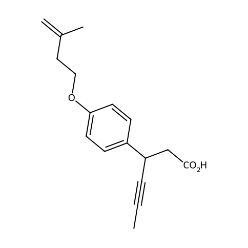 C=C(C)CCOc1ccc(C(C#CC)CC(=O)O)cc1